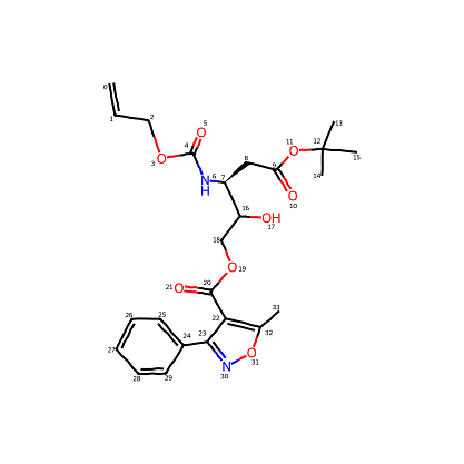 C=CCOC(=O)N[C@@H](CC(=O)OC(C)(C)C)C(O)COC(=O)c1c(-c2ccccc2)noc1C